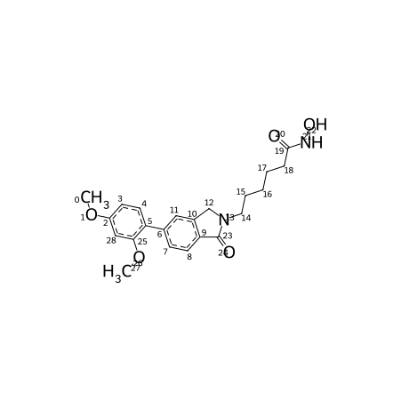 COc1ccc(-c2ccc3c(c2)CN(CCCCCC(=O)NO)C3=O)c(OC)c1